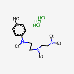 CCN(CC)CCN(CC)CCN(CC)c1ccc(N=O)cc1.Cl.Cl.Cl